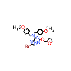 COc1ccc(CN(Cc2ccc(OC)cc2)c2nc(OCC3CCCO3)nn3cc(Br)nc23)cc1